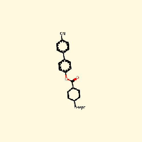 CCCCCCCC1CCC(C(=O)Oc2ccc(-c3ccc(C#N)cc3)cc2)CC1